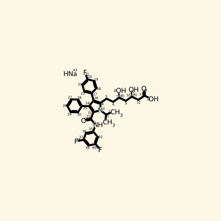 CC(C)n1c(CC[C@@H](O)C[C@@H](O)CC(=O)O)c(-c2ccc(F)cc2)c(-c2ccccc2)c1C(=O)Nc1cc(F)cc(F)c1.[NaH]